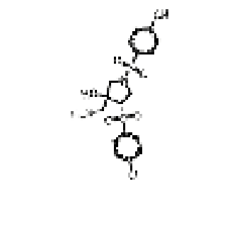 N#Cc1ccc(S(=O)(=O)N2C[C@H](S(=O)(=O)c3ccc(Cl)cc3)[C@](O)(CN)C2)cc1